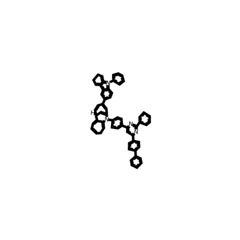 C1=CCC=C2C(=C1)[C@H]1C=CC(c3ccc4c(c3)c3c(n4-c4ccccc4)=CCCC=3)=CC(=C1)N2c1ccc(-c2cc(-c3ccc(-c4ccccc4)cc3)nc(-c3ccccc3)n2)cc1